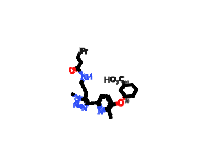 Cc1nc(-c2nnn(C)c2CCNC(=O)CCC(C)C)ccc1O[C@H]1CCC[C@H](C(=O)O)C1